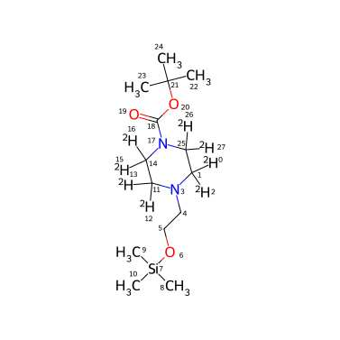 [2H]C1([2H])N(CCO[Si](C)(C)C)C([2H])([2H])C([2H])([2H])N(C(=O)OC(C)(C)C)C1([2H])[2H]